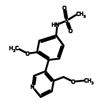 COCc1ccncc1-c1ccc(NS(C)(=O)=O)cc1OC